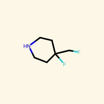 FCC1(F)CCNCC1